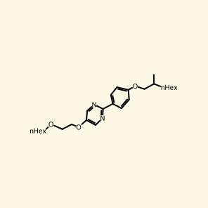 CCCCCCOCCOc1cnc(-c2ccc(OCC(C)CCCCCC)cc2)nc1